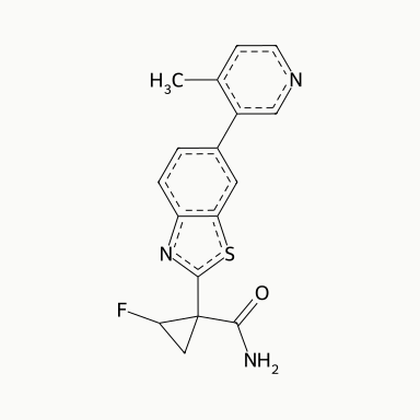 Cc1ccncc1-c1ccc2nc(C3(C(N)=O)CC3F)sc2c1